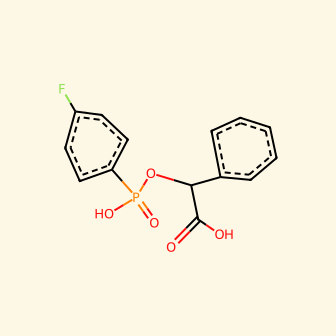 O=C(O)C(OP(=O)(O)c1ccc(F)cc1)c1ccccc1